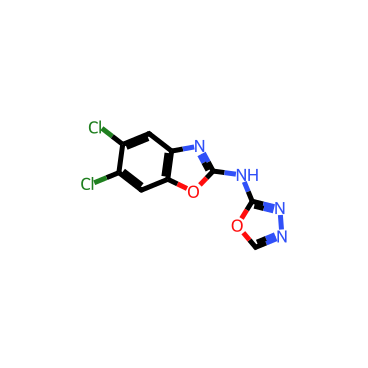 Clc1cc2nc(Nc3nnco3)oc2cc1Cl